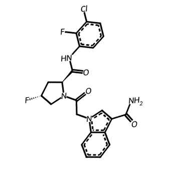 NC(=O)c1cn(CC(=O)N2C[C@H](F)C[C@H]2C(=O)Nc2cccc(Cl)c2F)c2ccccc12